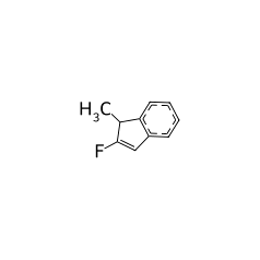 CC1C(F)=Cc2ccccc21